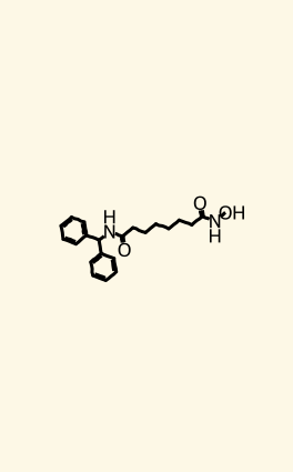 O=C(CCCCCCC(=O)NC(c1ccccc1)c1ccccc1)NO